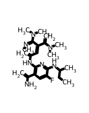 C=C(/C=C(C(=C)N(C)C)\C(=N/C)N(C)C)Nc1nc(NC(C)CC)c(F)cc1C(=C)N